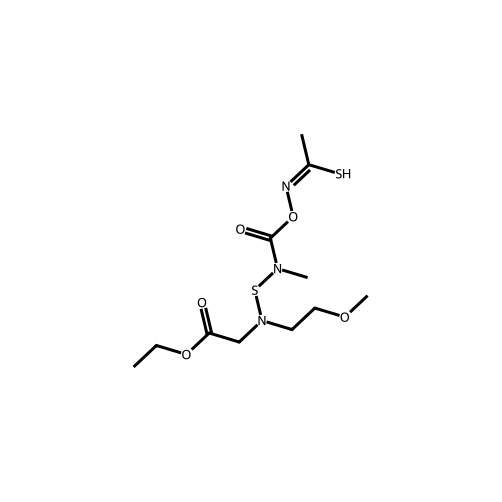 CCOC(=O)CN(CCOC)SN(C)C(=O)ON=C(C)S